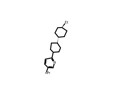 CCCc1ccc(C2CCC([C@H]3CC[C@H](CC)CC3)CC2)nc1